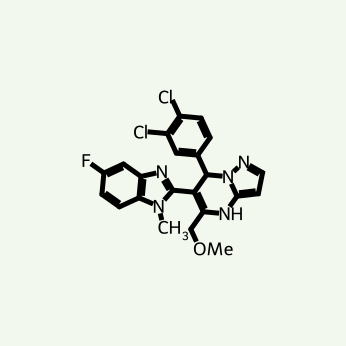 COCC1=C(c2nc3cc(F)ccc3n2C)C(c2ccc(Cl)c(Cl)c2)n2nccc2N1